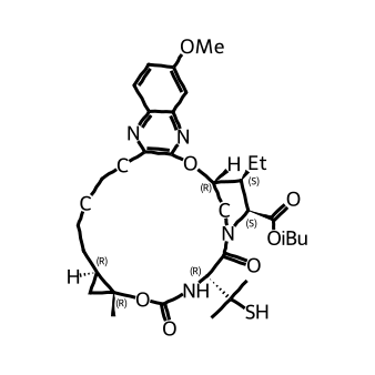 CC[C@@H]1[C@@H]2CN(C(=O)[C@H](C(C)(C)S)NC(=O)O[C@]3(C)C[C@H]3CCCCCc3nc4ccc(OC)cc4nc3O2)[C@@H]1C(=O)OCC(C)C